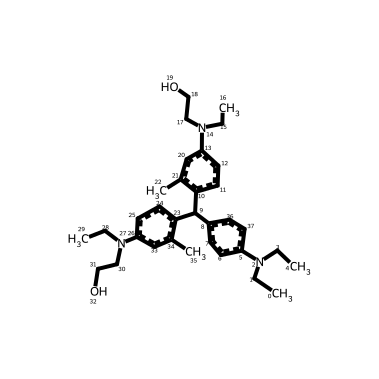 CCN(CC)c1ccc(C(c2ccc(N(CC)CCO)cc2C)c2ccc(N(CC)CCO)cc2C)cc1